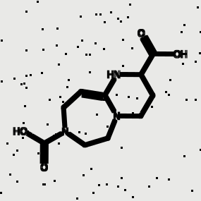 O=C(O)C1CCN2CCN(C(=O)O)CC=C2N1